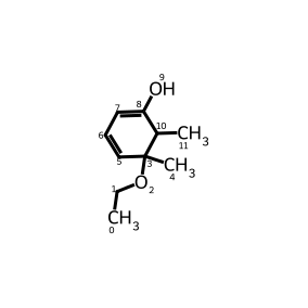 CCOC1(C)C=CC=C(O)C1C